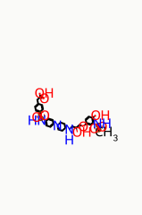 CS(=O)(=O)Nc1cc(OC[C@@H](O)CNC2CCN(c3ccc(NS(=O)(=O)c4ccc(CC(=O)O)cc4)cc3)CC2)ccc1O